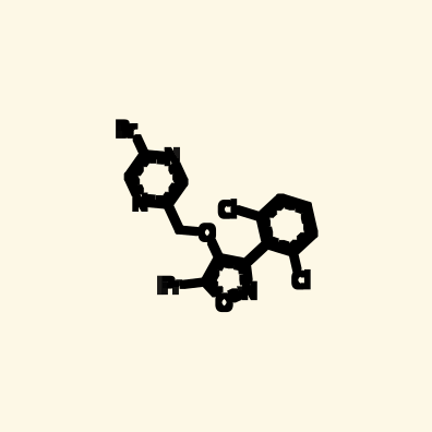 CC(C)c1onc(-c2c(Cl)cccc2Cl)c1OCc1cnc(Br)cn1